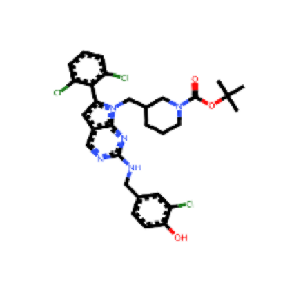 CC(C)(C)OC(=O)N1CCCC(Cn2c(-c3c(Cl)cccc3Cl)cc3cnc(NCc4ccc(O)c(Cl)c4)nc32)C1